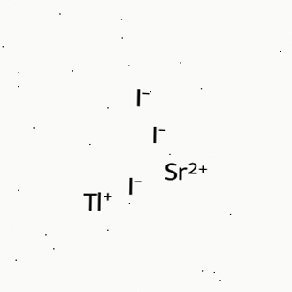 [I-].[I-].[I-].[Sr+2].[Tl+]